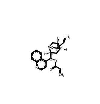 C=CC(=O)O[C@@H](c1ccnc2ccccc12)[C@H]1C[C@@H]2CCN1C[C@@H]2C=C